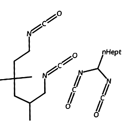 CC(CN=C=O)CC(C)(C)CCN=C=O.CCCCCCCC(N=C=O)N=C=O